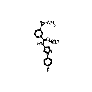 Cl.Cl.N[C@@H]1C[C@H]1c1cccc(C(=O)Nc2cnn(-c3ccc(F)cc3)c2)c1